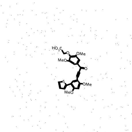 COc1cc(OC)c(-c2cccs2)cc1C#CC(=O)c1cc(OC)c(OCC(=O)O)c(OC)c1